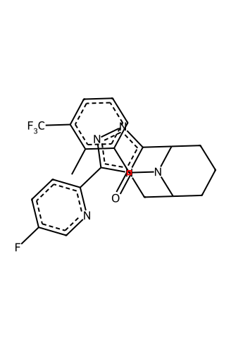 Cc1c(C(=O)N2C3CCCC2c2nnc(-c4ccc(F)cn4)n2C3)cccc1C(F)(F)F